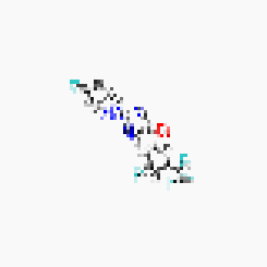 O=C(c1cnc(NCc2ccc(F)cc2)nc1)c1cc(F)cc(C(F)(F)F)c1